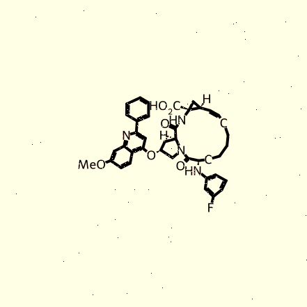 COc1ccc2c(O[C@@H]3C[C@H]4C(=O)N[C@]5(C(=O)O)C[C@H]5/C=C\CCCCC[C@H](Nc5cccc(F)c5)C(=O)N4C3)cc(-c3ccccc3)nc2c1